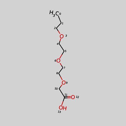 CCCOCCOCCOCC(=O)O